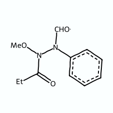 CCC(=O)N(OC)N([C]=O)c1ccccc1